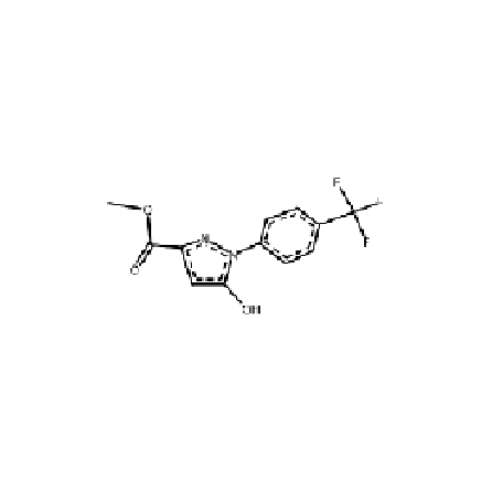 COC(=O)c1cc(O)n(-c2ccc(C(F)(F)F)cc2)n1